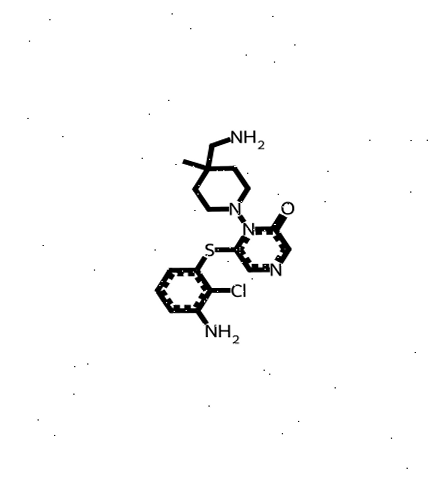 CC1(CN)CCN(n2c(Sc3cccc(N)c3Cl)cncc2=O)CC1